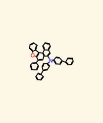 c1ccc(-c2ccc(N(c3ccc(-c4ccccc4)cc3)c3cc4ccccc4c4c3cc(-c3ccccc3)c3oc5ccccc5c34)cc2)cc1